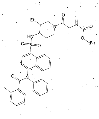 CCC1CN(C(=O)CNC(=O)OC(C)(C)C)CCC1NS(=O)(=O)c1ccc(N(C(=O)c2ccccc2C)c2ccccc2)c2ccccc12